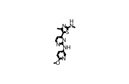 CNc1nc(C)c(-c2ccnc(Nc3ccc(OC)nc3)n2)s1